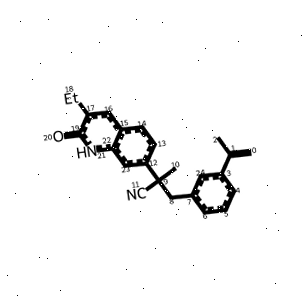 C=C(C)c1cccc(CC(C)(C#N)c2ccc3cc(CC)c(=O)[nH]c3c2)c1